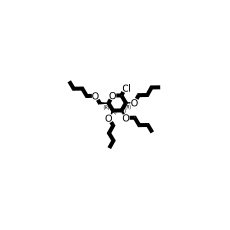 CCCCOC[C@H]1OC(Cl)[C@H](OCCCC)[C@@H](OCCCC)[C@@H]1OCCCC